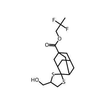 CC(F)(F)COC(=O)C12CC3CC(C1)C1(SCC(CO)S1)C(C3)C2